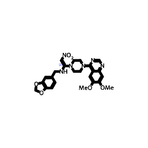 COc1cc2ncnc(N3CCN(/C(=C\[N+](=O)[O-])NCc4ccc5c(c4)OCO5)CC3)c2cc1OC